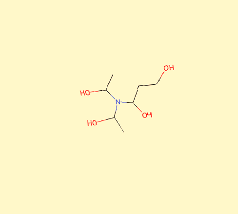 CC(O)N(C(C)O)C(O)CCO